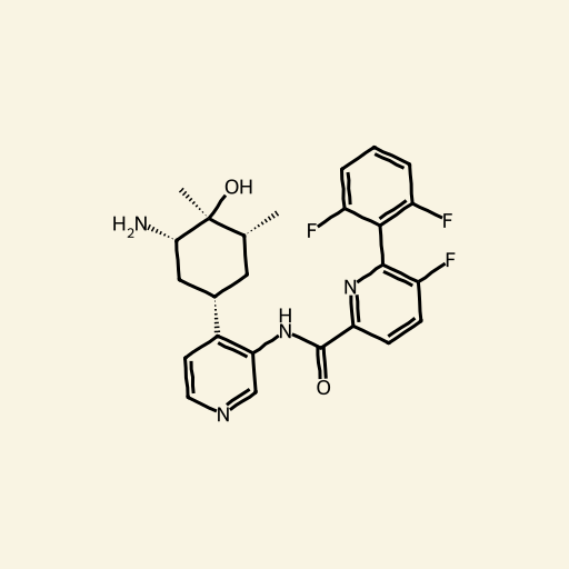 C[C@@H]1C[C@H](c2ccncc2NC(=O)c2ccc(F)c(-c3c(F)cccc3F)n2)C[C@H](N)[C@@]1(C)O